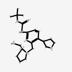 CC(C)(C)OC(=O)Nc1ccc(C2CCOC2)c(CN2CCC[C@H]2CO)n1